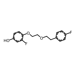 Oc1ccc(OCCOCCc2ccc(F)cc2)c(F)c1